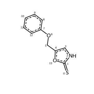 S=c1[nH]cc(COc2ccccc2)o1